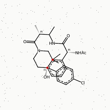 CC(=O)N[C@@H](C(=O)NC(C)[C@@H](C)C(=O)N1CC[C@](O)(c2ccc(Cl)cc2)C(C)(C)C1)c1ccccc1